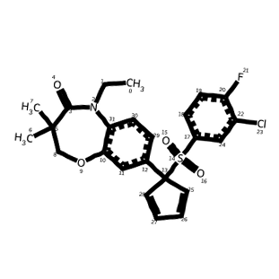 CCN1C(=O)C(C)(C)COc2cc(C3(S(=O)(=O)c4ccc(F)c(Cl)c4)C=CC=C3)ccc21